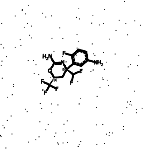 NC1=N[C@@](c2cc(N)ccc2F)(C(F)F)C[C@H](C(F)(F)F)O1